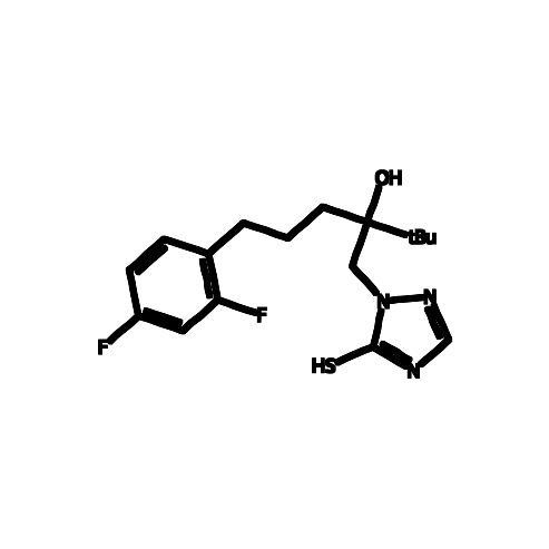 CC(C)(C)C(O)(CCCc1ccc(F)cc1F)Cn1ncnc1S